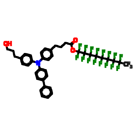 O=C(CCCc1ccc(N(c2ccc(CCCO)cc2)c2ccc(-c3ccccc3)cc2)cc1)OC(F)(F)C(F)(F)C(F)(F)C(F)(F)C(F)(F)C(F)(F)C(F)(F)C(F)(F)C(F)(F)F